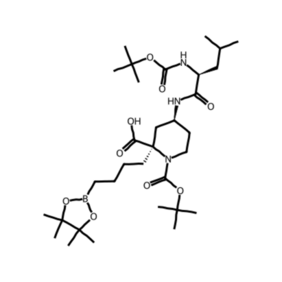 CC(C)C[C@H](NC(=O)OC(C)(C)C)C(=O)N[C@H]1CCN(C(=O)OC(C)(C)C)[C@@](CCCCB2OC(C)(C)C(C)(C)O2)(C(=O)O)C1